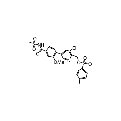 COc1cc(C(=O)NS(C)(=O)=O)ccc1-c1cnc(COS(=O)(=O)c2ccc(C)cc2)c(Cl)c1